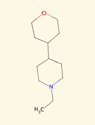 CCN1CCC(C2CCOCC2)CC1